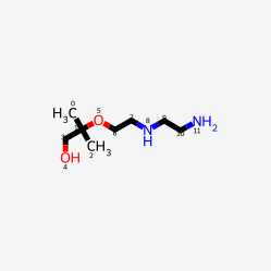 CC(C)(CO)OCCNCCN